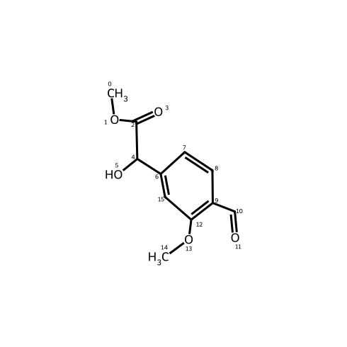 COC(=O)C(O)c1ccc(C=O)c(OC)c1